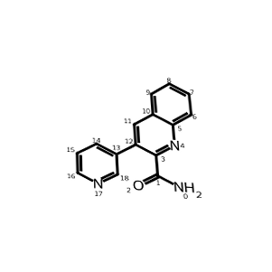 NC(=O)c1nc2ccccc2cc1-c1cccnc1